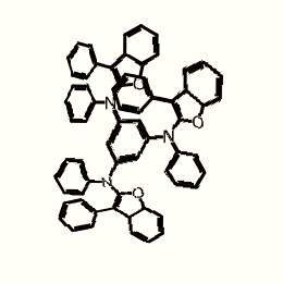 C1=CC2OC(N(c3ccccc3)c3cc(N(C4=C(c5ccccc5)C5C=CC=CC5O4)c4ccccc4)cc(N(C4=C(c5ccccc5)C5C=CC=CC5O4)c4ccccc4)c3)=C(c3ccccc3)C2C=C1